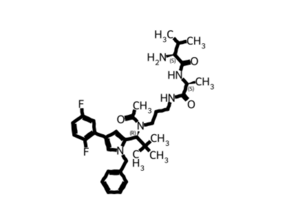 CC(=O)N(CCCNC(=O)[C@H](C)NC(=O)[C@@H](N)C(C)C)[C@@H](c1cc(-c2cc(F)ccc2F)cn1Cc1ccccc1)C(C)(C)C